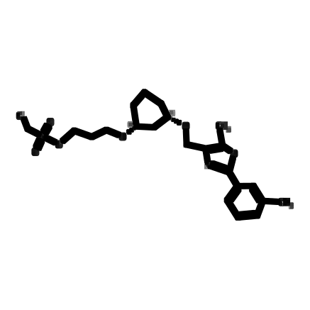 Cc1cccc(-c2nc(CO[C@H]3CCC[C@@H](OCCCOS(=O)(=O)CCl)C3)c(C)o2)c1